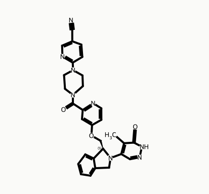 Cc1c(N2Cc3ccccc3[C@H]2COc2ccnc(C(=O)N3CCN(c4ccc(C#N)cn4)CC3)c2)cn[nH]c1=O